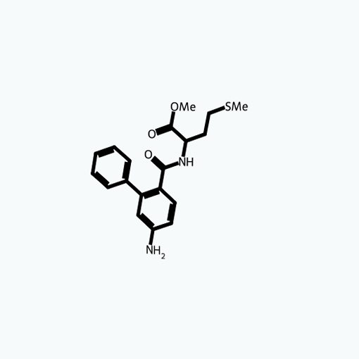 COC(=O)C(CCSC)NC(=O)c1ccc(N)cc1-c1ccccc1